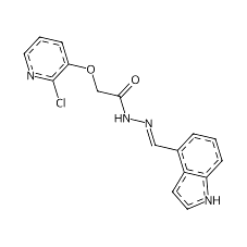 O=C(COc1cccnc1Cl)NN=Cc1cccc2[nH]ccc12